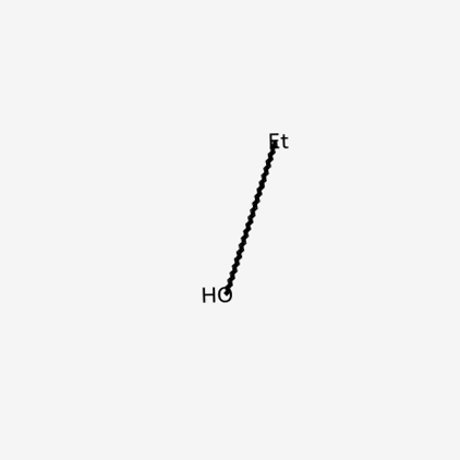 CCC=CCCCCCCCCCC=CCCCCCCCCCCCCCCCCCCCCCCCCCCCCCCO